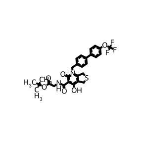 CC(C)(C)OC(=O)CNC(=O)c1c(O)c2c(n(Cc3ccc(-c4ccc(OC(F)(F)F)cc4)cc3)c1=O)CSC2